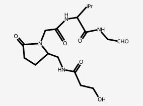 CC(C)C(NC(=O)CN1C(=O)CCC1CNC(=O)CCO)C(=O)NCC=O